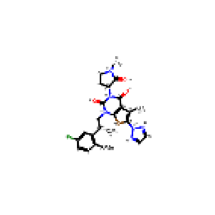 COc1ccc(F)cc1[C@H](Cn1c(=O)n([C@H]2CCN(C)C2=O)c(=O)c2c(C)c(-n3nccn3)sc21)OC